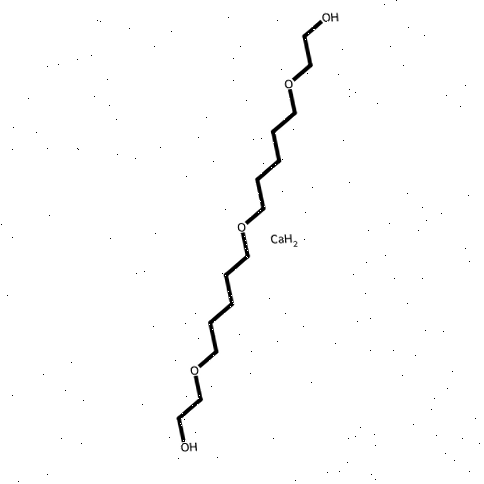 OCCOCCCCCOCCCCCOCCO.[CaH2]